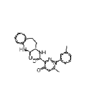 Cc1cccc(-n2nc(C(=O)NC3CCc4ccccc4NC3=O)c(=O)cc2C)c1